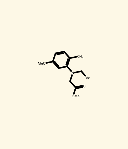 COC(=O)CN(CC(C)=O)c1cc(OC)ccc1C